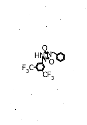 O=c1[nH]n(-c2cc(C(F)(F)F)cc(C(F)(F)F)c2)c(=O)n1Cc1ccccc1